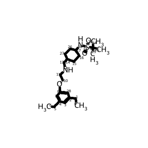 CCc1cc(CC)cc(OCCNCC2CCC(NS(=O)(=O)C(C)(C)C)CC2)c1